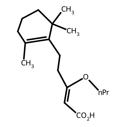 CCCOC(=CC(=O)O)CCC1=C(C)CCCC1(C)C